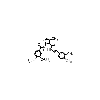 COc1ccc(C(=O)Nc2scc(C)c2C(=O)N/N=C/c2ccc(C)c(C)c2)cc1OC